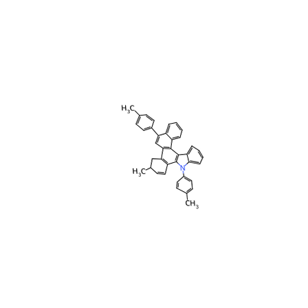 Cc1ccc(-c2cc3c4c(c5c(c6ccccc6n5-c5ccc(C)cc5)c3c3ccccc23)C=CC(C)C4)cc1